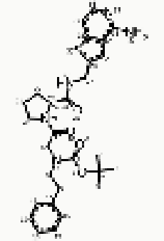 CC(C)(C)OC(=O)N(CCc1ccccc1)CC(=O)N1CCC[C@H]1C(=O)NCc1cc2c(N)nccc2s1